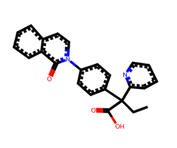 CCC(C(=O)O)(c1ccc(-n2ccc3ccccc3c2=O)cc1)c1ccccn1